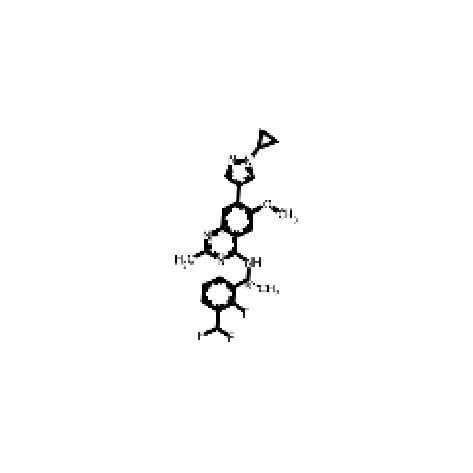 COc1cc2c(N[C@H](C)c3cccc(C(F)F)c3F)nc(C)nc2cc1-c1cnn(C2CC2)c1